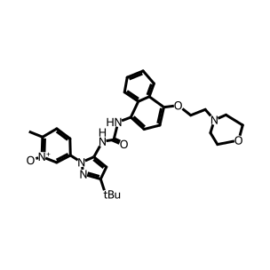 Cc1ccc(-n2nc(C(C)(C)C)cc2NC(=O)Nc2ccc(OCCN3CCOCC3)c3ccccc23)c[n+]1[O-]